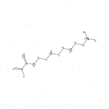 C=C(C)C(=O)OCCOCCOCCN(C)C